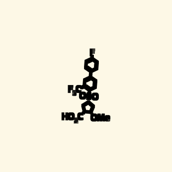 CO[C@H]1C[C@@H](S(=O)(=O)c2ccc(-c3ccc(F)cc3)cc2C(F)(F)F)C[C@@H]1C(=O)O